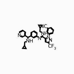 N#Cc1cccc(-n2nc(C(F)(F)F)cc2/C(=N/c2cccc(C(NCC3CC3)c3cccnc3)c2)NCC2CC2)c1